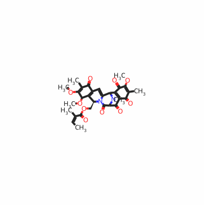 C/C=C(/C)C(=O)OC[C@H]1C2=C(C=C3C4C5=C(C(=O)C(C)=C(OC)C5=O)C(=O)C(C(=O)N31)N4C)C(=O)C(C)=C(OC)C2OC